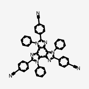 N#Cc1ccc(-c2nc3c(c4nc(-c5ccc(C#N)cc5)n(-c5ccccc5)c4c4nc(-c5ccc(C#N)cc5)n(-c5ccccc5)c34)n2-c2ccccc2)cc1